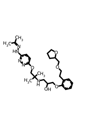 CC(C)=NNc1ccc(OCC(C)(C)NCC(O)COc2ccccc2CCOCC2CCCO2)nn1